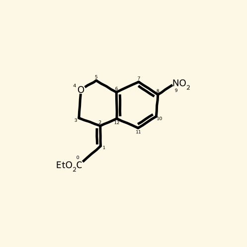 CCOC(=O)C=C1COCc2cc([N+](=O)[O-])ccc21